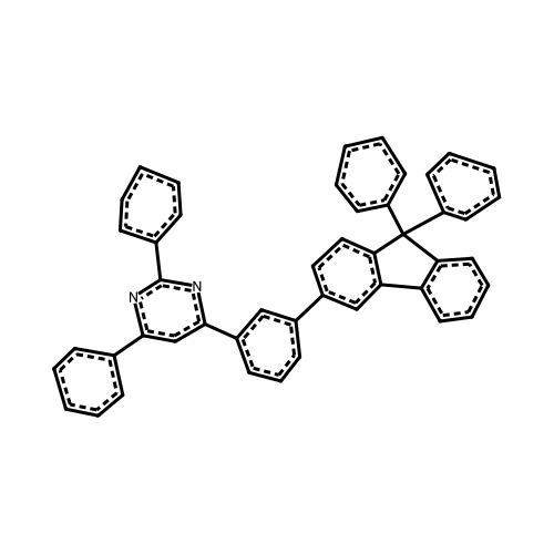 c1ccc(-c2cc(-c3cccc(-c4ccc5c(c4)-c4ccccc4C5(c4ccccc4)c4ccccc4)c3)nc(-c3ccccc3)n2)cc1